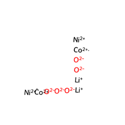 [Co+2].[Co+2].[Li+].[Li+].[Ni+2].[Ni+2].[O-2].[O-2].[O-2].[O-2].[O-2]